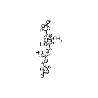 CCC(C)(CC(O)COCC(CO)OCC1COC(=O)O1)OCC1COC(=O)O1